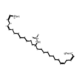 CCCCC/C=C\C/C=C\CCCCCCCCC(CCCCCCCC/C=C\C/C=C\CCCCC)NN(C)C